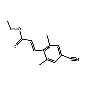 CCOC(=O)/C=C/c1c(C)cc(C#N)cc1C